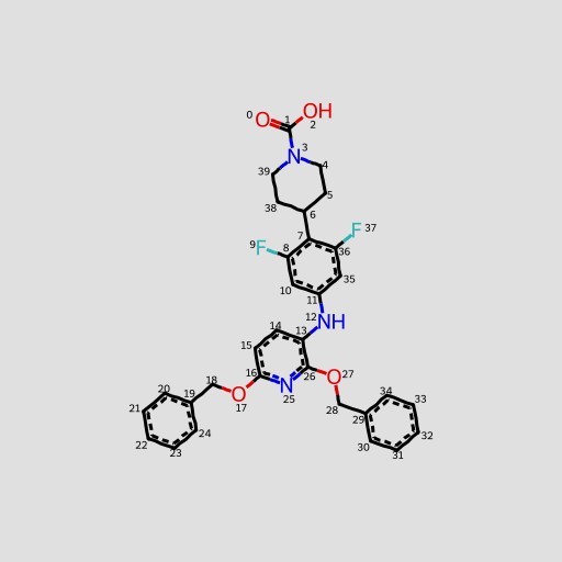 O=C(O)N1CCC(c2c(F)cc(Nc3ccc(OCc4ccccc4)nc3OCc3ccccc3)cc2F)CC1